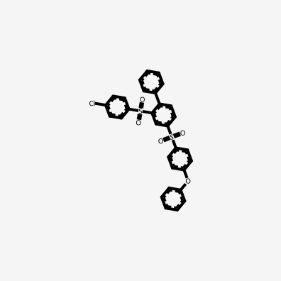 O=S(=O)(c1ccc(Oc2ccccc2)cc1)c1ccc(-c2ccccc2)c(S(=O)(=O)c2ccc(Cl)cc2)c1